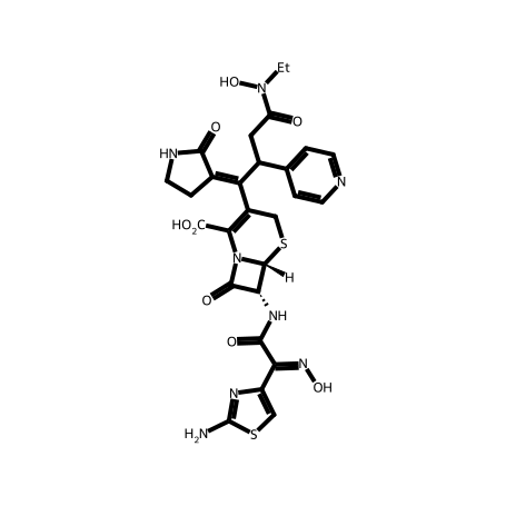 CCN(O)C(=O)CC(C(=C1CCNC1=O)C1=C(C(=O)O)N2C(=O)[C@@H](NC(=O)C(=NO)c3csc(N)n3)[C@H]2SC1)c1ccncc1